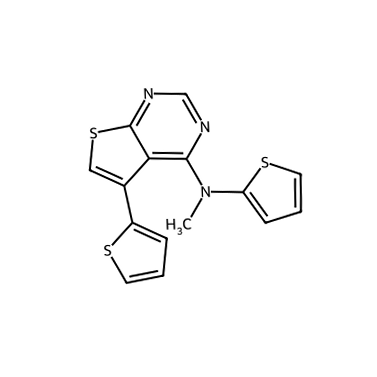 CN(c1cccs1)c1ncnc2scc(-c3cccs3)c12